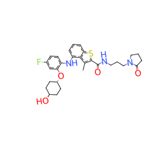 Cc1c(C(=O)NCCCN2CCCC2=O)sc2cccc(Nc3ccc(F)cc3O[C@H]3CC[C@H](O)CC3)c12